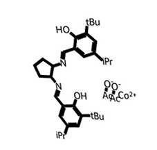 CC(=O)[O-].CC(=O)[O-].CC(C)c1cc(C=NC2CCCC2N=Cc2cc(C(C)C)cc(C(C)(C)C)c2O)c(O)c(C(C)(C)C)c1.[Co+2]